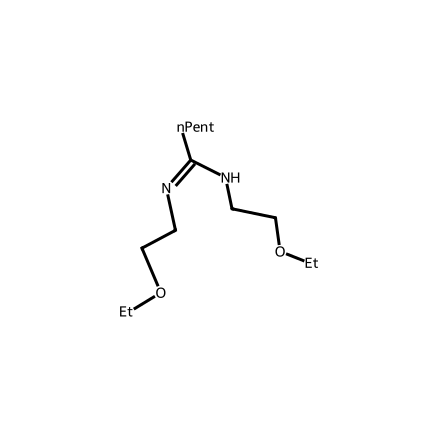 CCCCCC(=NCCOCC)NCCOCC